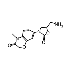 CN1C(=O)COc2cc(N3CC(CN)OC3=O)ccc21